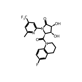 Cc1cc(C(F)(F)F)cc(N2C(=O)[C@@H](O)[C@@H](O)[C@H]2C(=O)N2CCCc3cc(F)ccc32)n1